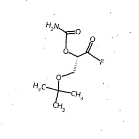 CC(C)(C)OC[C@H](OC(N)=O)C(=O)F